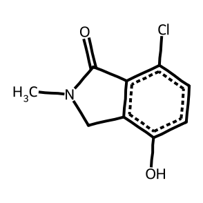 CN1Cc2c(O)ccc(Cl)c2C1=O